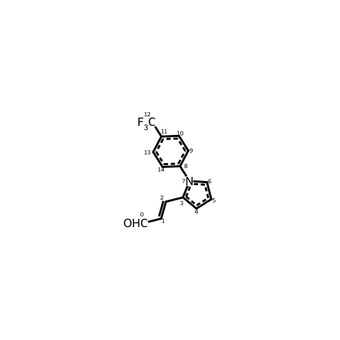 O=C/C=C/c1cccn1-c1ccc(C(F)(F)F)cc1